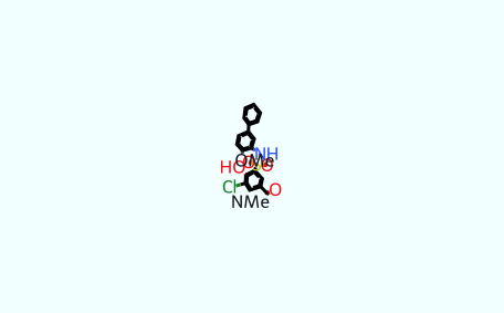 CNC(=O)c1cc(Cl)c(O)c(S(=O)(=O)Nc2cc(-c3ccccc3)ccc2OC)c1